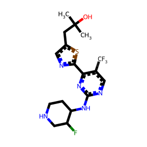 CC(C)(O)Cc1cnc(-c2nc(NC3CCNCC3F)ncc2C(F)(F)F)s1